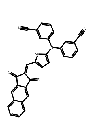 N#Cc1cccc(N(c2cccc(C#N)c2)c2ccc(C=C3C(=O)c4cc5ccccc5cc4C3=O)[se]2)c1